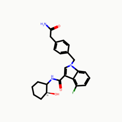 NC(=O)Cc1ccc(Cn2cc(C(=O)NC3CCCC[C@@H]3O)c3c(F)cccc32)cc1